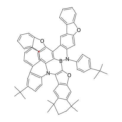 CC(C)(C)c1ccc(N2B3c4oc5cc6c(cc5c4N(c4ccc(C(C)(C)C)cc4-c4ccccc4)c4cc5c(oc7ccccc75)c(c43)-c3cc4c(cc32)oc2ccccc24)C(C)(C)CCC6(C)C)cc1